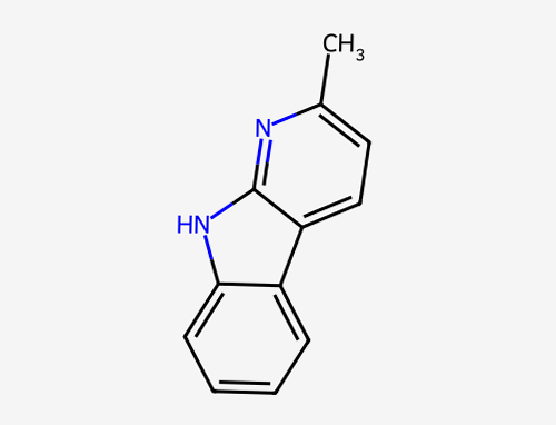 Cc1ccc2c(n1)[nH]c1ccccc12